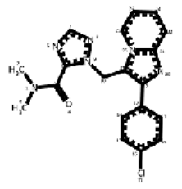 CN(C)C(=O)c1ncnn1Cc1c(-c2ccc(Cl)cc2)nc2ccccn12